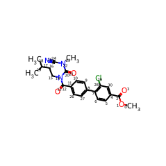 COC(=O)c1ccc(-c2ccc(C(=O)N(CCC(C)C)C(=O)N(C)C#N)cc2)c(Cl)c1